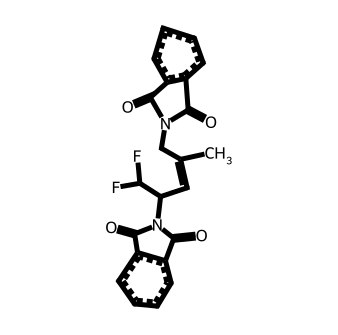 CC(=CC(C(F)F)N1C(=O)c2ccccc2C1=O)CN1C(=O)c2ccccc2C1=O